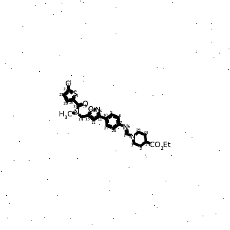 CCOC(=O)C1CCN(C=Nc2ccc(-c3cc(CN(C)C(=O)c4ccc(Cl)s4)on3)cc2)CC1